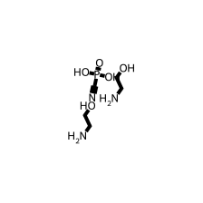 N#CP(=O)(O)O.NCCO.NCCO